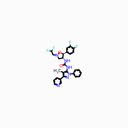 Cc1c(-c2cccnc2)nn(-c2ccccc2)c1NC(=O)N[C@@H]1CN(CC(F)F)O[C@H]1c1ccc(F)c(F)c1